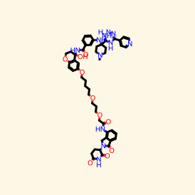 CN1CCC(Nc2cccc(C(=O)NC3(O)CCOc4ccc(OCCCCCOCCCOCC(=O)Nc5cccc6c5CN(C5CCC(=O)NC5=O)C6=O)cc43)c2)(C(=N)N/C(=N\N)c2ccncc2)CC1